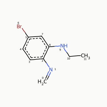 C=Nc1ccc(Br)cc1NCC